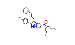 CCCCN(CCCC)C(=O)c1ccn2nc(-c3ccc(F)cc3)c(CCCN3CCCCC3)c2c1